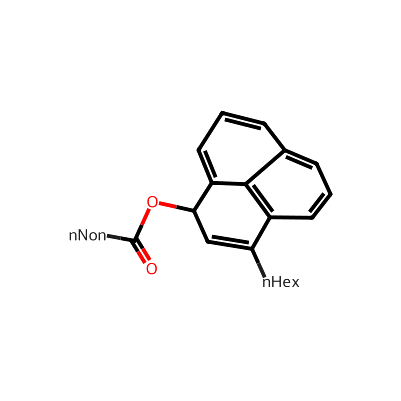 CCCCCCCCCC(=O)OC1C=C(CCCCCC)c2cccc3cccc1c23